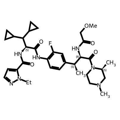 CCn1nccc1C(=O)N[C@H](C(=O)Nc1ccc([C@H](C)[C@@H](NC(=O)COC)C(=O)N2CCN(C)C[C@@H]2C)cc1F)C(C1CC1)C1CC1